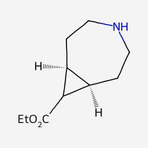 CCOC(=O)C1[C@H]2CCNCC[C@@H]12